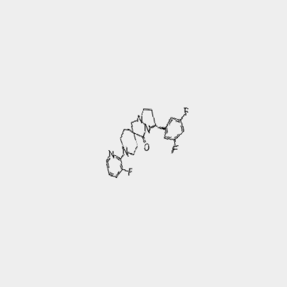 O=C1N2[C@H](c3cc(F)cc(F)c3)CCN2CC12CCN(c1ncccc1F)CC2